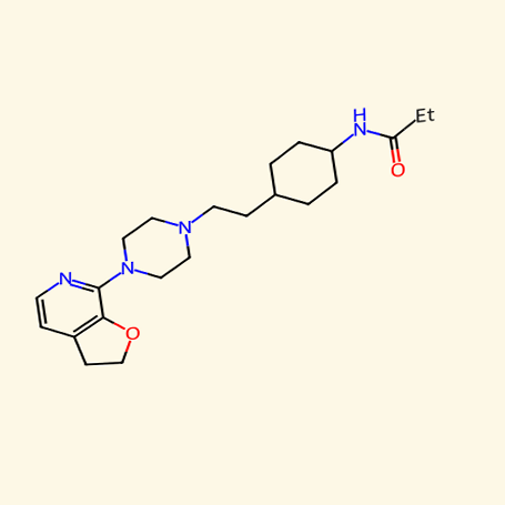 CCC(=O)NC1CCC(CCN2CCN(c3nccc4c3OCC4)CC2)CC1